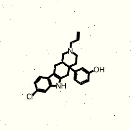 C=CCN1CCC2(c3cccc(O)c3)Cc3[nH]c4cc(Cl)ccc4c3CC2C1